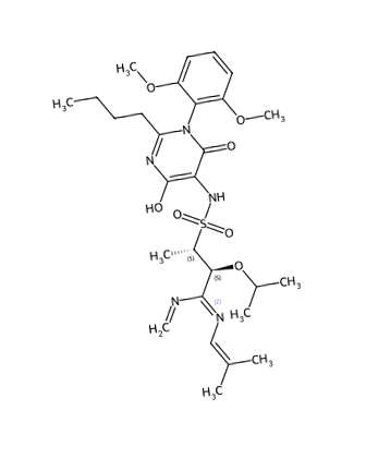 C=N/C(=N\C=C(C)C)[C@H](OC(C)C)[C@H](C)S(=O)(=O)Nc1c(O)nc(CCCC)n(-c2c(OC)cccc2OC)c1=O